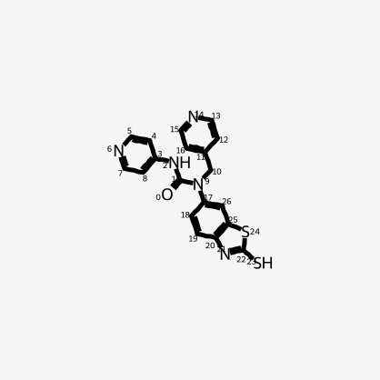 O=C(Nc1ccncc1)N(Cc1ccncc1)c1ccc2nc(S)sc2c1